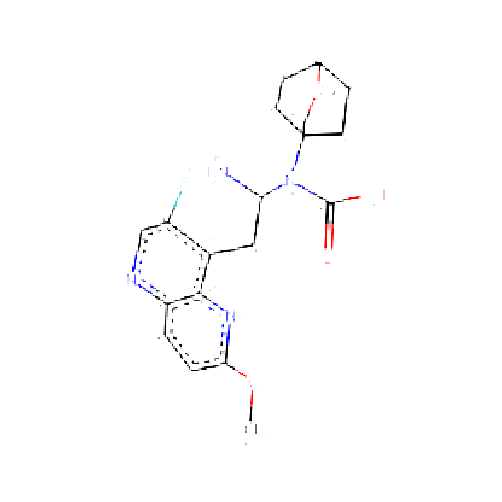 COc1ccc2ncc(F)c(CC(N)N(C(=O)O)C34CCC(CC3)OC4)c2n1